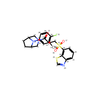 N#Cc1cc(N2C3CCC2CN(C(=O)CCS(=O)(=O)c2cccc4ncsc24)C3)ccc1F